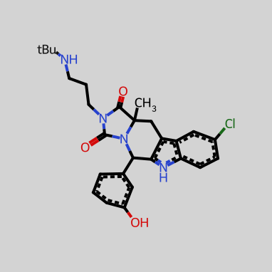 CC(C)(C)NCCCN1C(=O)N2C(c3cccc(O)c3)c3[nH]c4ccc(Cl)cc4c3CC2(C)C1=O